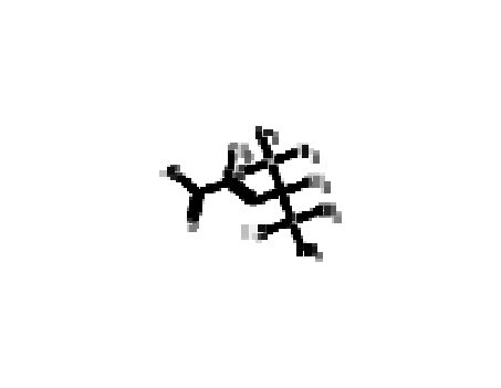 CC(=CC(C)([Si](C)(C)C)[Si](C)(C)C)C(=O)O